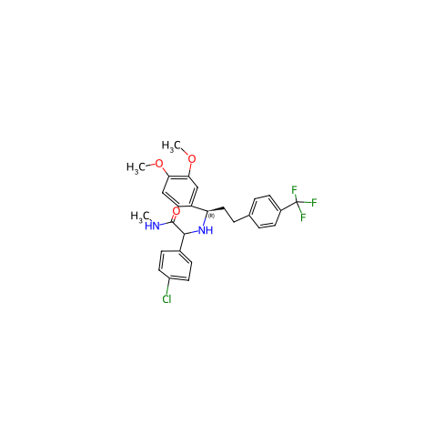 CNC(=O)C(N[C@H](CCc1ccc(C(F)(F)F)cc1)c1ccc(OC)c(OC)c1)c1ccc(Cl)cc1